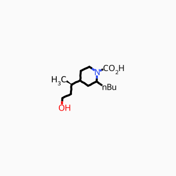 CCCCC1CC([C@H](C)CCO)CCN1C(=O)O